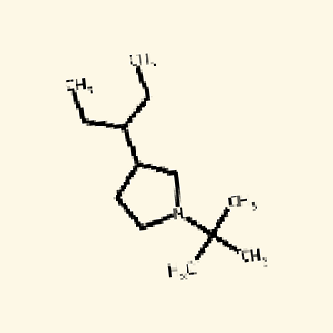 CCC(CC)C1CCN(C(C)(C)C)C1